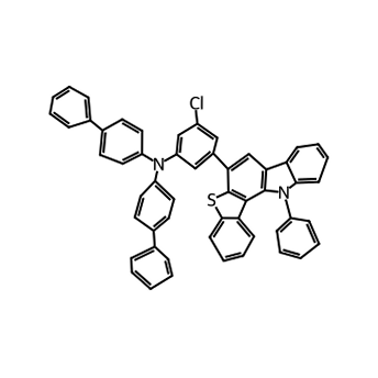 Clc1cc(-c2cc3c4ccccc4n(-c4ccccc4)c3c3c2sc2ccccc23)cc(N(c2ccc(-c3ccccc3)cc2)c2ccc(-c3ccccc3)cc2)c1